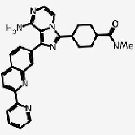 CNC(=O)C1CCC(c2nc(-c3ccc4ccc(-c5ccccn5)nc4c3)c3c(N)nccn23)CC1